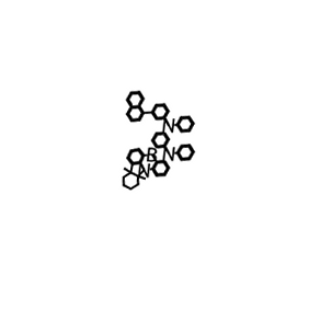 CC12CCCCC1(C)N1c3cccc4c3B(c3ccc(N(c5ccccc5)c5cccc(-c6cccc7ccccc67)c5)cc3N4c3ccccc3)c3cccc2c31